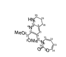 COC(OC)c1nc2c(cc1CN1C=CC=COC1=O)CCCN2